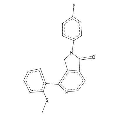 CSc1ccccc1-c1nccc2c1CN(c1ccc(F)cc1)C2=O